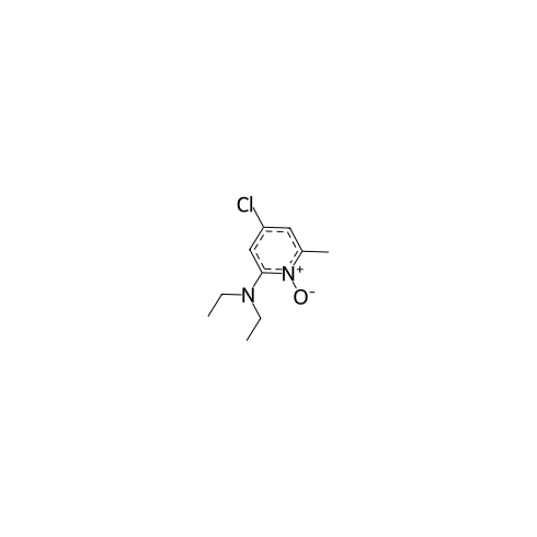 CCN(CC)c1cc(Cl)cc(C)[n+]1[O-]